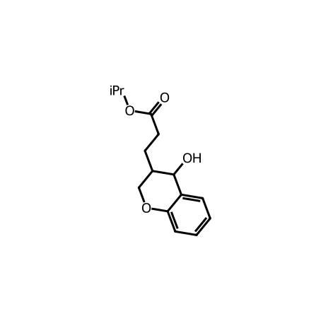 CC(C)OC(=O)CCC1COc2ccccc2C1O